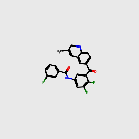 Cc1cnc2ccc(C(=O)c3cc(NC(=O)c4cccc(F)c4)cc(F)c3F)cc2c1